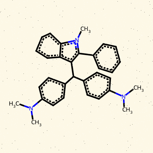 CN(C)c1ccc(C(c2ccc(N(C)C)cc2)c2c(-c3ccccc3)n(C)c3ccccc23)cc1